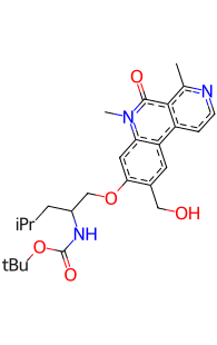 Cc1nccc2c1c(=O)n(C)c1cc(OCC(CC(C)C)NC(=O)OC(C)(C)C)c(CO)cc21